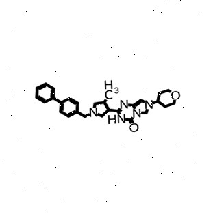 CC1CN(Cc2ccc(-c3ccccc3)cc2)CC1C1=NC2=CN(C3CCOCC3)CN2C(=O)N1